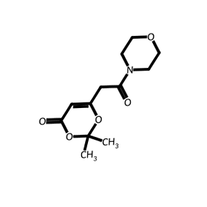 CC1(C)OC(=O)C=C(CC(=O)N2CCOCC2)O1